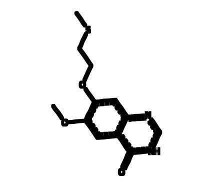 COc1cc2c(=O)[nH]cnc2cc1OCCSC